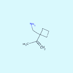 C=C(C)C1(CN)CCC1